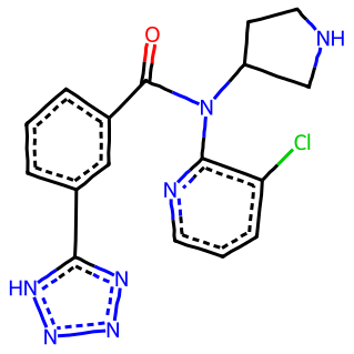 O=C(c1cccc(-c2nnn[nH]2)c1)N(c1ncccc1Cl)C1CCNC1